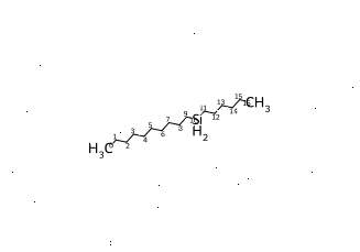 CCCCCCCCCC[SiH2]CCCCCC